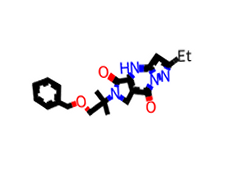 CCc1cc2[nH]c3c(c(=O)n2n1)CN(C(C)(C)COCc1ccccc1)C3=O